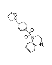 CN1CCN(S(=O)(=O)c2ccc(N3CCC=N3)cc2)c2ccccc21